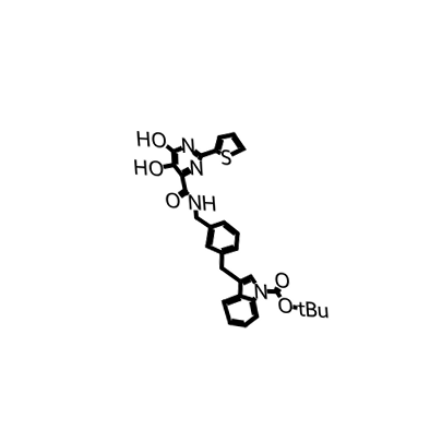 CC(C)(C)OC(=O)n1cc(Cc2cccc(CNC(=O)c3nc(-c4cccs4)nc(O)c3O)c2)c2ccccc21